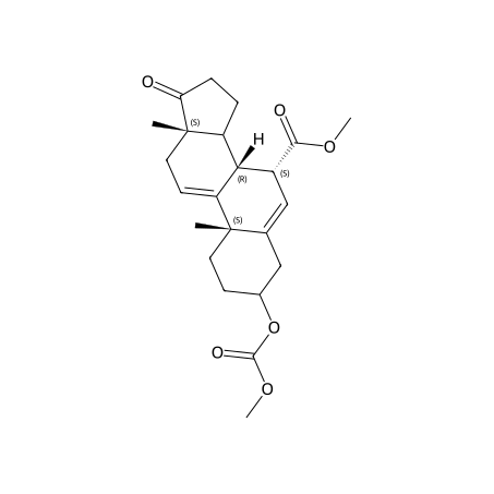 COC(=O)OC1CC[C@@]2(C)C(=C[C@@H](C(=O)OC)[C@@H]3C2=CC[C@]2(C)C(=O)CCC32)C1